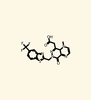 CN1C=CN=C2C(=O)N(Cc3nc4cc(C(F)(F)F)ccc4s3)N=C(CC(=O)O)C21